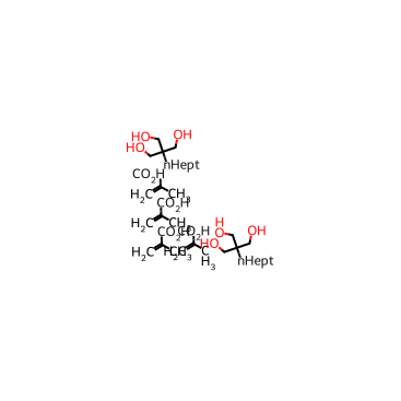 C=C(C)C(=O)O.C=C(C)C(=O)O.C=C(C)C(=O)O.C=C(C)C(=O)O.CCCCCCCC(CO)(CO)CO.CCCCCCCC(CO)(CO)CO